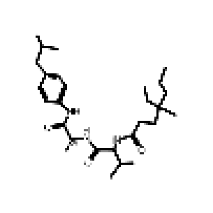 CCCC(C)(CC)CCC(=O)NC(C(=O)N[C@@H](C)C(=O)Nc1ccc(CC(C)C)cc1)C(C)C